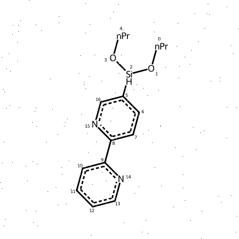 CCCO[SiH](OCCC)c1ccc(-c2ccccn2)nc1